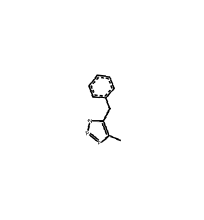 CC1=C(Cc2ccccc2)[N]P=P1